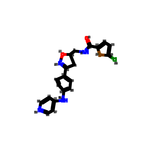 O=C(NCC1CC(c2ccc(Nc3ccncc3)cc2)=NO1)c1ccc(Cl)s1